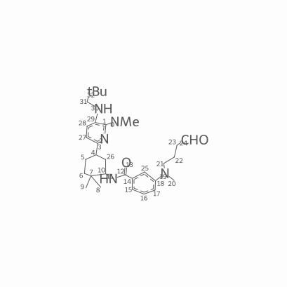 CNc1nc(C2CCC(C)(C)C(NC(=O)c3cccc(N(C)CCCC=O)c3)C2)ccc1NCC(C)(C)C